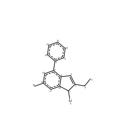 [Li][CH]1C(CC)=Cc2c(-c3ccccc3)cc(C)cc21